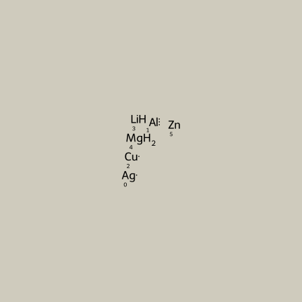 [Ag].[Al].[Cu].[LiH].[MgH2].[Zn]